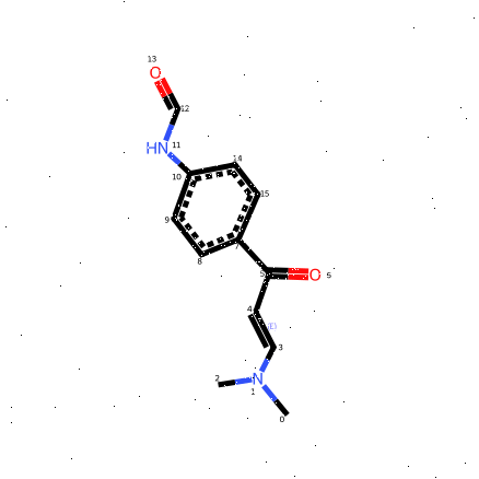 CN(C)/C=C/C(=O)c1ccc(NC=O)cc1